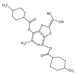 Cc1cc(OC(=O)C2CCC(C)CC2)c2c(c1OC(=O)C1CCC(C)CC1)SC(=C(C#N)C#N)S2